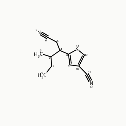 CCC(C)C(CC#N)c1cc(C#N)cs1